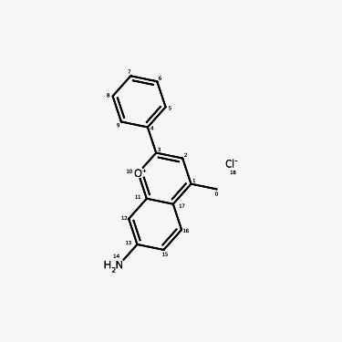 Cc1cc(-c2ccccc2)[o+]c2cc(N)ccc12.[Cl-]